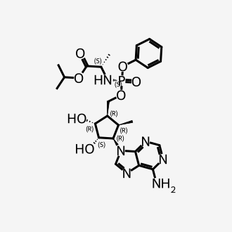 CC(C)OC(=O)[C@H](C)N[P@](=O)(OC[C@H]1[C@@H](C)[C@@H](n2cnc3c(N)ncnc32)[C@H](O)[C@@H]1O)Oc1ccccc1